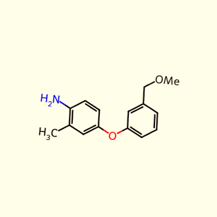 COCc1cccc(Oc2ccc(N)c(C)c2)c1